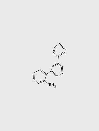 Bc1ccccc1-c1cccc(-c2ccccc2)c1